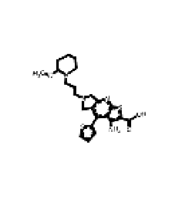 COC1CCCCN1CCCN1Cc2nc3sc(C(=O)O)c(N)c3c(-c3cccs3)c2C1